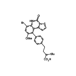 COc1cc(Br)c2[nH]c(=O)c3sccc3c2c1-c1ccc(CCN(C(=O)O)C(C)(C)C)cc1